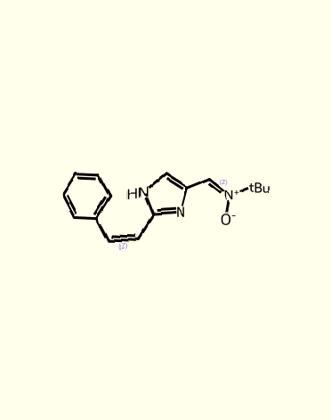 CC(C)(C)/[N+]([O-])=C/c1c[nH]c(/C=C\c2ccccc2)n1